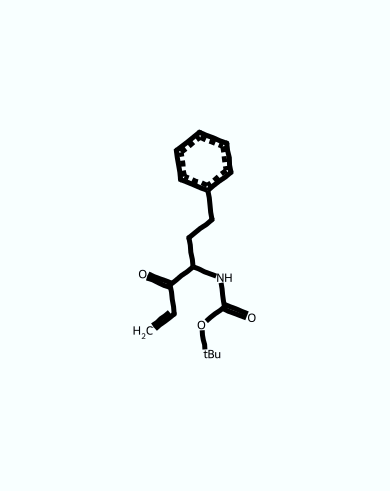 C=CC(=O)C(CCc1ccccc1)NC(=O)OC(C)(C)C